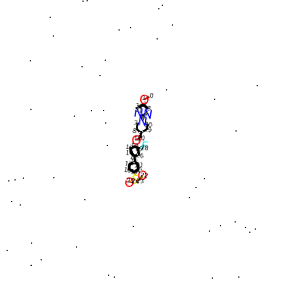 COc1cnc(N2CCC(COc3ccc(-c4ccc5c(c4)OC[S+]5[O-])cc3F)CC2)nc1